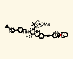 COC(=O)N[C@H](C(=O)N[C@@H](Cc1ccc(C#Cc2ccc(N3CC4CCC(C3)N4C3COC3)nc2)cc1)[C@@H](O)CNCc1ccc(-c2cnn(C3CC3)c2)cc1)C(C)(C)C(F)(F)F